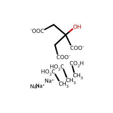 CC(=O)O.CC(=O)O.CC(=O)O.O=C([O-])CC(O)(CC(=O)[O-])C(=O)[O-].[Na+].[Na+].[Na+]